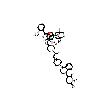 Nc1nnc(-c2ccccc2O)cc1N1C[C@H]2CC[C@@H](C1)N2c1cccc(OC2CCN(C(=O)CN3CCC(N4CCN(C5CCC(=O)NC5=O)c5ccccc54)CC3)CC2)c1